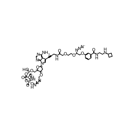 [N-]=[N+]=NCO[C@@H]1C[C@H](n2cc(C#CCNC(=O)COCCOC(COc3cccc(C(=O)NCCNC4CCC4)c3)N=[N+]=[N-])c3c(N)ncnc32)O[C@@H]1COP(=O)(O)OP(=O)(O)OP(=O)(O)O